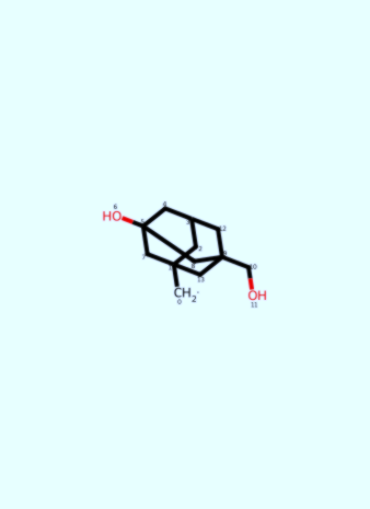 [CH2]C12CC3CC(O)(C1)CC(CO)(C3)C2